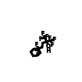 OC(CCC1(F)CC2CCC1S2)(C(F)(F)F)C(F)(F)F